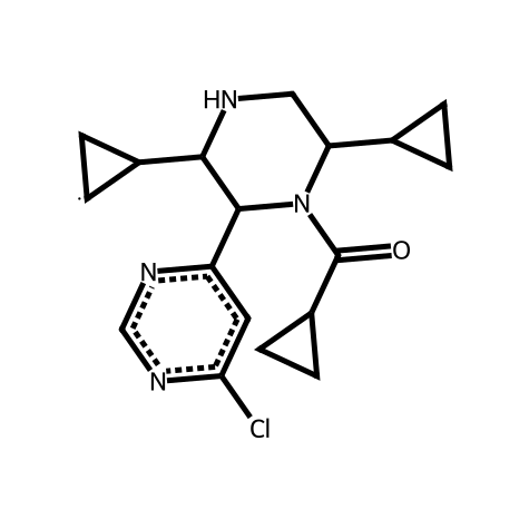 O=C(C1CC1)N1C(C2CC2)CNC(C2[CH]C2)C1c1cc(Cl)ncn1